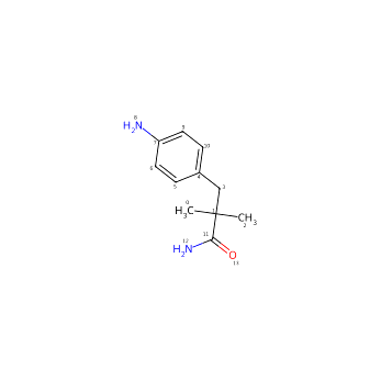 CC(C)(Cc1ccc(N)cc1)C(N)=O